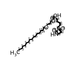 CCCCCCCCCCCCCCCCOCCCOP(=O)(O)CC/C=C\Cn1c(=O)cc[nH]c1=O